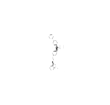 Nc1ccccc1NC(=O)/C=C/c1ccc(S(=O)(=O)Nc2ccc(-c3ccccc3)cc2)cc1